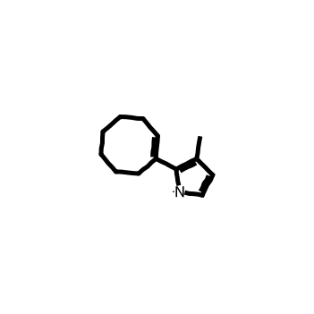 CC1=C(/C2=C/CCCCCC2)[N]C=C1